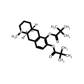 CN1CCC[C@@H]2Cc3c(ccc(OC(=O)C(C)(C)C)c3OC(=O)C(C)(C)C)C[C@H]21